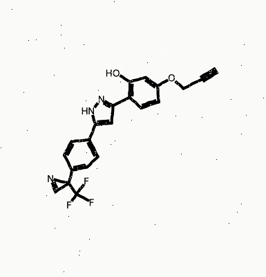 C#CCOc1ccc(-c2cc(-c3ccc(C4(C(F)(F)F)C=N4)cc3)[nH]n2)c(O)c1